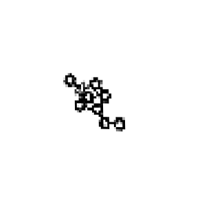 c1ccc(-c2cccc(-c3cc(-c4cccc5c4oc4c(-c6nc(-c7ccccc7)nc(-c7ccccc7)n6)cccc45)c4c(c3)sc3ccccc34)c2)cc1